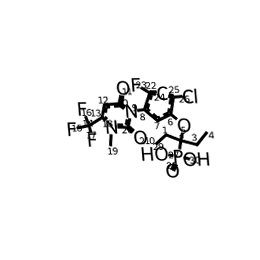 CCC(CC)(Oc1cc(-n2c(=O)cc(C(F)(F)F)n(C)c2=O)c(F)cc1Cl)P(=O)(O)O